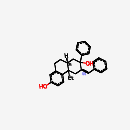 CCC12C/C(=C/c3ccccc3)C(O)(c3ccccc3)C[C@H]1CCc1cc(O)ccc12